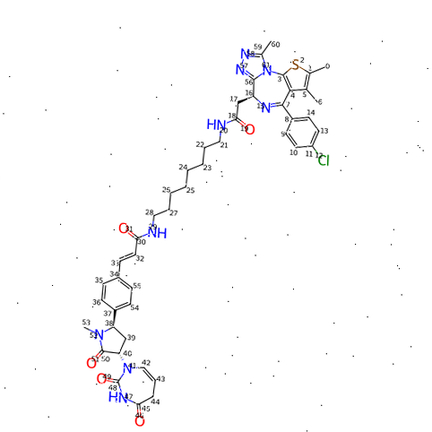 Cc1sc2c(c1C)C(c1ccc(Cl)cc1)=N[C@@H](CC(=O)NCCCCCCCCNC(=O)/C=C/c1ccc([C@H]3C[C@H](N4C=CCC(=O)NC4=O)C(=O)N3C)cc1)c1nnc(C)n1-2